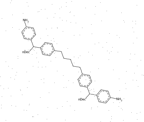 CCCCCCCCCCC(c1ccc(N)cc1)c1ccc(CCCCCc2ccc(C(CCCCCCCCCC)c3ccc(N)cc3)cc2)cc1